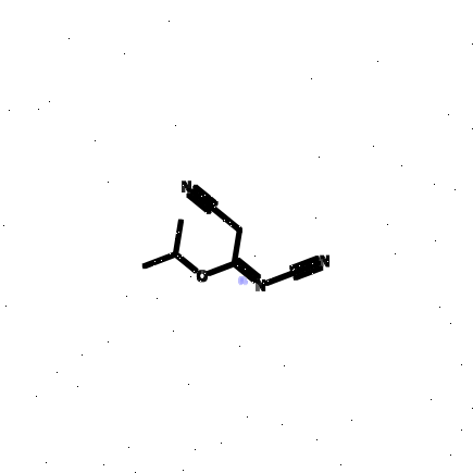 CC(C)O/C(CC#N)=N/C#N